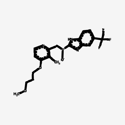 COCCCOc1ccnc(C[S+]([O-])c2nc3cc(C(F)(F)F)ccc3[nH]2)c1C